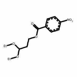 CCOC(CCOC(=O)c1ccc([N+](=O)[O-])cc1)OCC